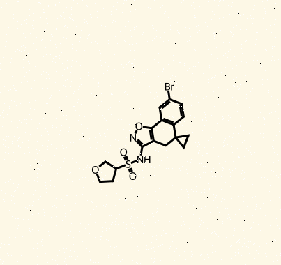 O=S(=O)(Nc1noc2c1CC1(CC1)c1ccc(Br)cc1-2)C1CCOC1